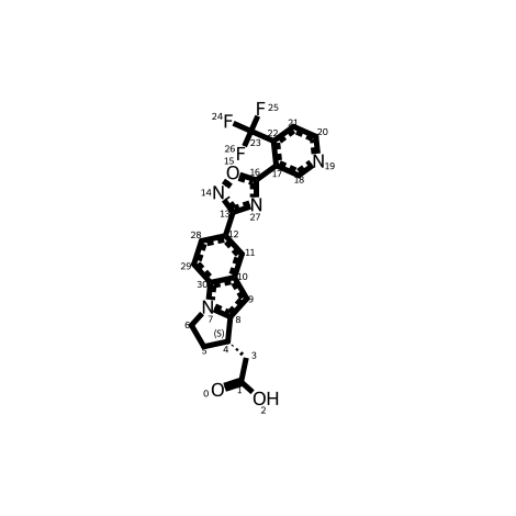 O=C(O)C[C@@H]1CCn2c1cc1cc(-c3noc(-c4cnccc4C(F)(F)F)n3)ccc12